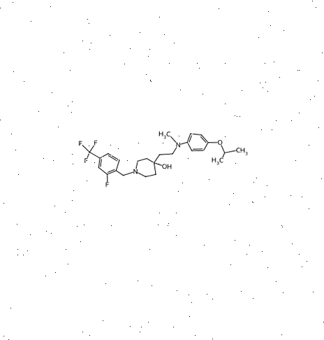 CC(C)Oc1ccc(N(C)CCC2(O)CCN(Cc3ccc(C(F)(F)F)cc3F)CC2)cc1